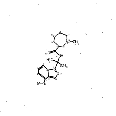 COc1cccn2c(C(C)(C)NC(=O)C3COCCN(C)C3)ncc12